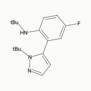 CC(C)(C)Nc1ccc(F)cc1-c1ccnn1C(C)(C)C